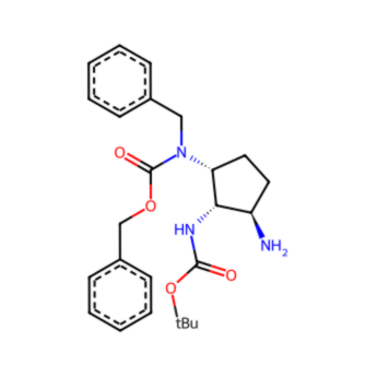 CC(C)(C)OC(=O)N[C@H]1[C@H](N)CC[C@H]1N(Cc1ccccc1)C(=O)OCc1ccccc1